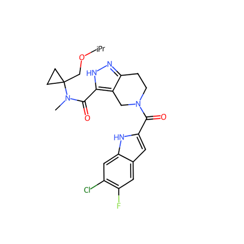 CC(C)OCC1(N(C)C(=O)c2[nH]nc3c2CN(C(=O)c2cc4cc(F)c(Cl)cc4[nH]2)CC3)CC1